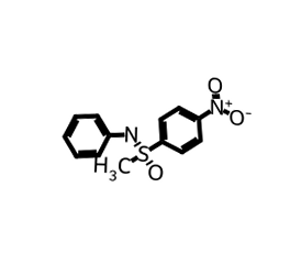 CS(=O)(=Nc1ccccc1)c1ccc([N+](=O)[O-])cc1